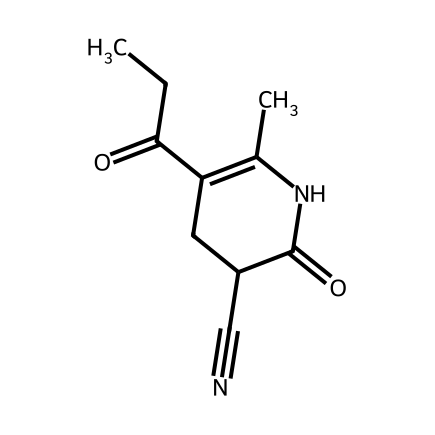 CCC(=O)C1=C(C)NC(=O)C(C#N)C1